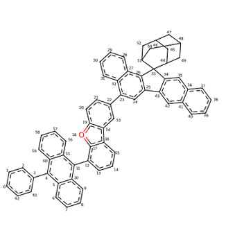 c1ccc(-c2c3ccccc3c(-c3cccc4c3oc3ccc(-c5cc6c(c7ccccc57)C5(c7cc8ccccc8cc7-6)C6CC7CC(C6)CC5C7)cc34)c3ccccc23)cc1